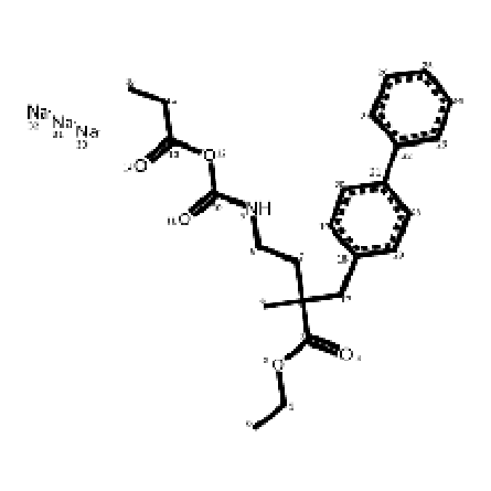 CCOC(=O)C(C)(CCNC(=O)OC(=O)CC)Cc1ccc(-c2ccccc2)cc1.[Na].[Na].[Na]